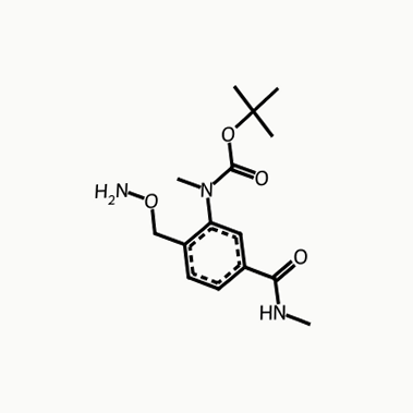 CNC(=O)c1ccc(CON)c(N(C)C(=O)OC(C)(C)C)c1